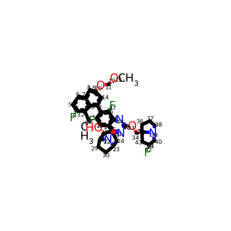 CCc1c(F)ccc2cc(OCOC)cc(-c3c(F)cc4c(N5C6CCC(O)C5CC6)nc(OC[C@@]56CCCN5C[C@H](F)C6)nc4c3F)c12